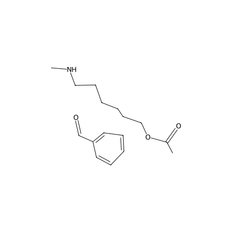 CNCCCCCCOC(C)=O.O=Cc1ccccc1